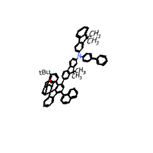 CC(C)(C)c1ccc(-c2c(-c3ccc4c(c3)C(C)(C)c3cc(N(c5ccc(-c6ccccc6)cc5)c5ccc6c(c5)C(C)(C)c5ccccc5-6)ccc3-4)cc(-c3cccc4ccccc34)c3c2C2(c4ccccc4-3)C3CC4CC(C3)CC2C4)cc1